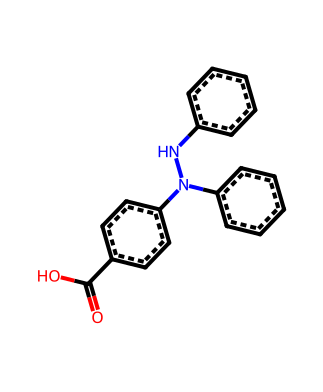 O=C(O)c1ccc(N(Nc2ccccc2)c2ccccc2)cc1